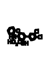 Clc1ccc(-c2ccc3c(c2)Oc2ccccc2N3)cc1Cl.O=C(O)O